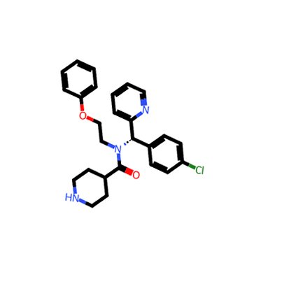 O=C(C1CCNCC1)N(CCOc1ccccc1)[C@@H](c1ccc(Cl)cc1)c1ccccn1